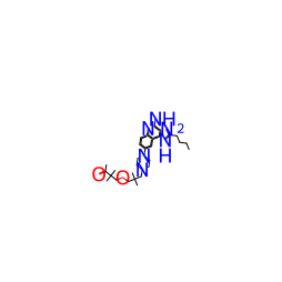 CCCCc1nc2c(N)nc3ccc(N4CCN(CC(C)(C)COCC(C)(C)C(C)=O)CC4)cc3c2[nH]1